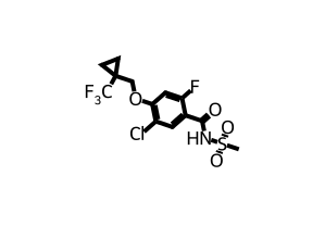 CS(=O)(=O)NC(=O)c1cc(Cl)c(OCC2(C(F)(F)F)CC2)cc1F